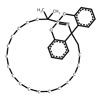 CC1(C)CCCCCCCCCCCCCCCCCCC23N=P1(Oc1ccccc12)Oc1ccccc13